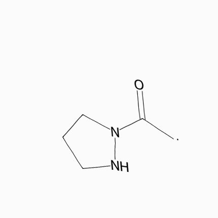 [CH2]C(=O)N1CCCN1